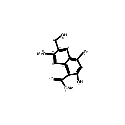 COC(=O)c1c(O)cc(C(C)C)c2cc(CO)c(OC)cc12